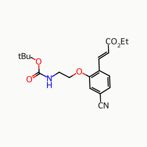 CCOC(=O)C=Cc1ccc(C#N)cc1OCCNC(=O)OC(C)(C)C